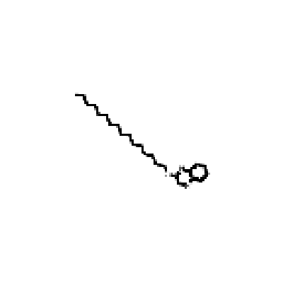 CCCCCCCCCCCCCCCCOc1cnc2ccccc2n1